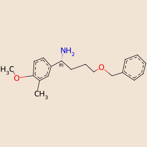 COc1ccc([C@H](N)CCCOCc2ccccc2)cc1C